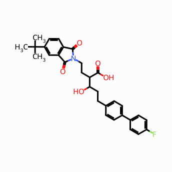 CC(C)(C)c1ccc2c(c1)C(=O)N(CCC(C(=O)O)C(O)CCc1ccc(-c3ccc(F)cc3)cc1)C2=O